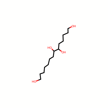 OCCCCCCCC(O)C(O)CCCCCO